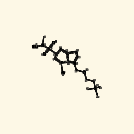 CN(C(C)(C)C)S(=O)(=O)c1cc(Br)c2c(ccn2COCC[Si](C)(C)C)c1